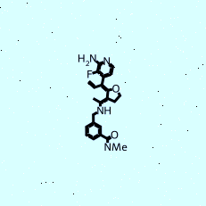 C=C/C(=C1/OCC/C1=C(/C)NCc1cccc(C(=O)NC)c1)c1ccnc(N)c1F